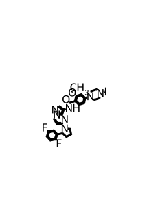 COc1cc(N2CCN(I)CC2)ccc1C(=O)Nc1cnn2ccc(N3CCCC3c3cc(F)ccc3F)nc12